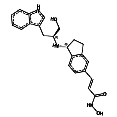 O=C(C=Cc1ccc2c(c1)CC[C@H]2N[C@H](CO)Cc1c[nH]c2ccccc12)NO